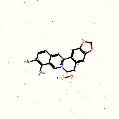 COc1ccc2cc3[n+](cc2c1OC)CCc1cc2c(cc1-3)OCO2.O=S(=O)(O)O